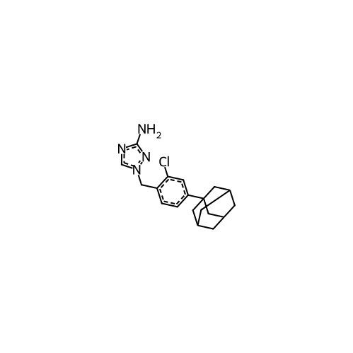 Nc1ncn(Cc2ccc(C34CC5CC(CC(C5)C3)C4)cc2Cl)n1